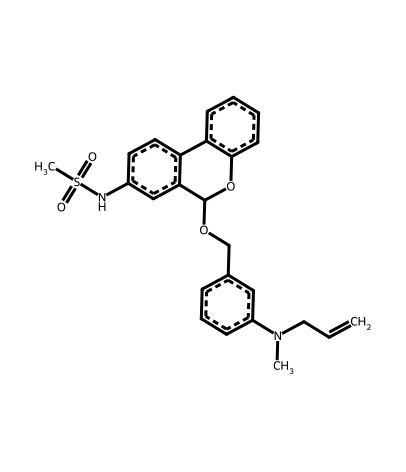 C=CCN(C)c1cccc(COC2Oc3ccccc3-c3ccc(NS(C)(=O)=O)cc32)c1